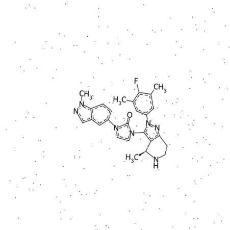 Cc1cc(-n2nc3c(c2-n2ccn(-c4ccc5c(cnn5C)c4)c2=O)[C@H](C)NCC3)cc(C)c1F